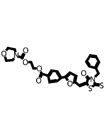 O=C(OCCOC(=O)N1CCOCC1)c1ccc(-c2ccc(/C=C3/SC(=S)N(Cc4ccccc4)C3=O)o2)cc1